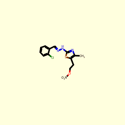 Cc1nc(NN=Cc2ccccc2Cl)sc1CCO[N+](=O)[O-]